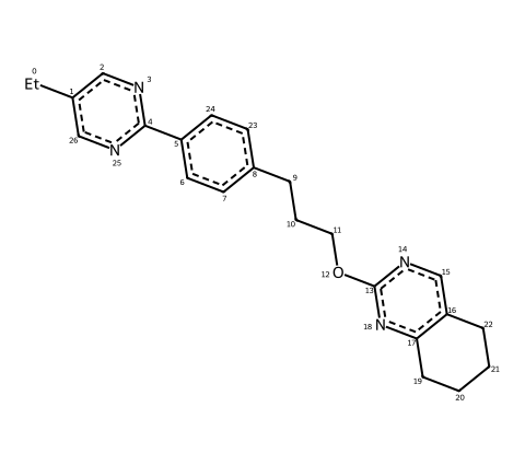 CCc1cnc(-c2ccc(CCCOc3ncc4c(n3)CCCC4)cc2)nc1